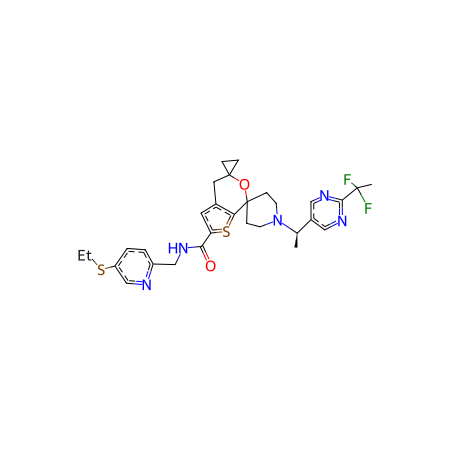 CCSc1ccc(CNC(=O)c2cc3c(s2)C2(CCN([C@H](C)c4cnc(C(C)(F)F)nc4)CC2)OC2(CC2)C3)nc1